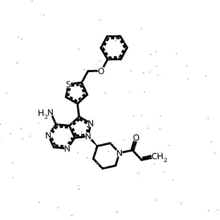 C=CC(=O)N1CCC[C@@H](n2nc(-c3csc(COc4ccccc4)c3)c3c(N)ncnc32)C1